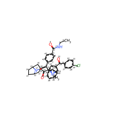 CCNC(=O)c1ccc(C(=C2CC3CCC(C2)N3CC(=O)c2cc(C(=O)c3ccc(Cl)cc3)cn2C)c2ccccc2)cc1